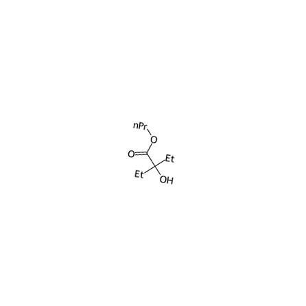 CCCOC(=O)C(O)(CC)CC